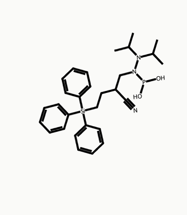 CC(C)N(C(C)C)N(CC(C#N)CC[Si](c1ccccc1)(c1ccccc1)c1ccccc1)P(O)O